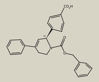 O=C(O)c1ccc([C@@H]2C=C(c3ccccc3)CCN2C(=O)OCc2ccccc2)cc1